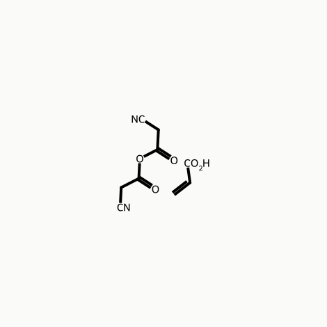 C=CC(=O)O.N#CCC(=O)OC(=O)CC#N